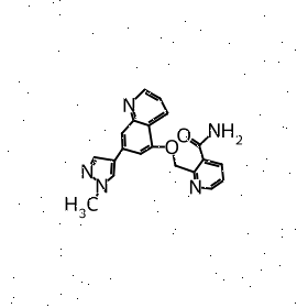 Cn1cc(-c2cc(OCc3ncccc3C(N)=O)c3cccnc3c2)cn1